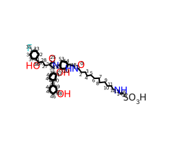 O=C(CCCCCCCCCCCNCCS(=O)(=O)O)NCc1ccc(N2C(=O)[C@H](CC[C@H](O)c3ccc(F)cc3)[C@H]2c2ccc(-c3cccc(O)c3)cc2O)cc1